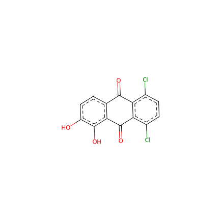 O=C1c2ccc(O)c(O)c2C(=O)c2c(Cl)ccc(Cl)c21